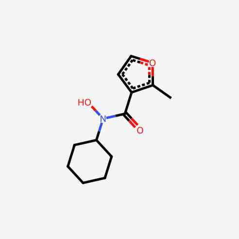 Cc1occc1C(=O)N(O)C1CCCCC1